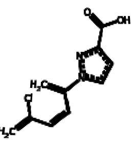 C=C(Cl)/C=C\C(=C)n1ccc(C(=O)O)n1